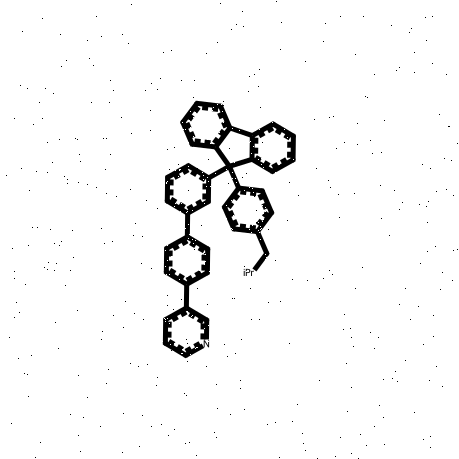 CC(C)Cc1ccc(C2(c3cccc(-c4ccc(-c5cccnc5)cc4)c3)c3ccccc3-c3ccccc32)cc1